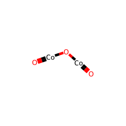 [O]=[Co][O][Co]=[O]